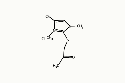 CC(=O)CSc1n(C)cc(Cl)[n+]1C.[Cl-]